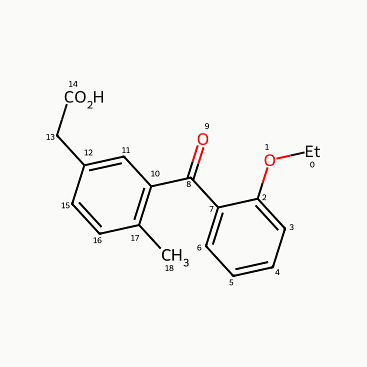 CCOc1ccccc1C(=O)c1cc(CC(=O)O)ccc1C